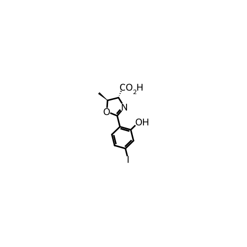 C[C@@H]1OC(c2ccc(I)cc2O)=N[C@H]1C(=O)O